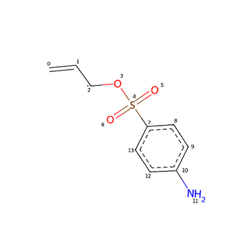 C=C[CH]OS(=O)(=O)c1ccc(N)cc1